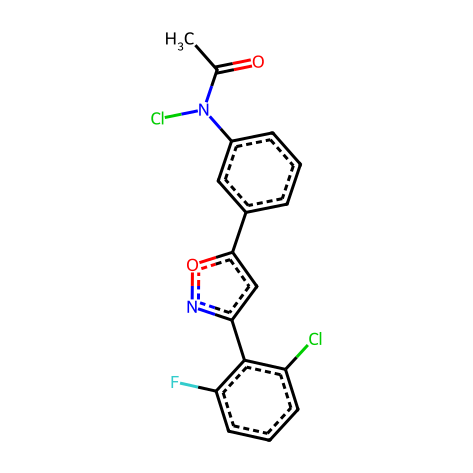 CC(=O)N(Cl)c1cccc(-c2cc(-c3c(F)cccc3Cl)no2)c1